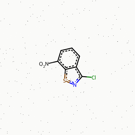 O=[N+]([O-])c1cccc2c(Cl)nsc12